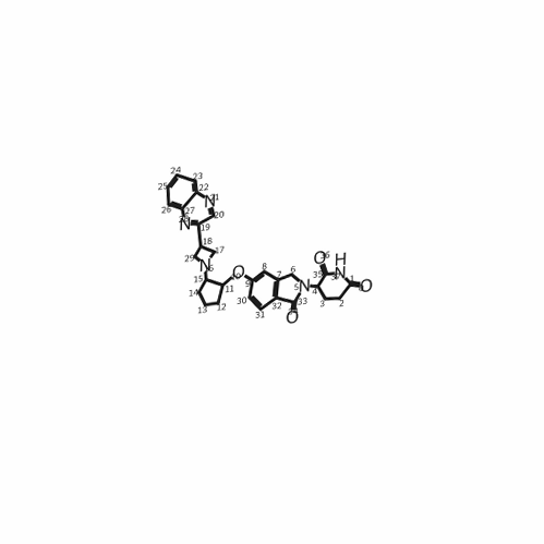 O=C1CCC(N2Cc3cc(OC4CCCC4N4CC(c5cnc6ccccc6n5)C4)ccc3C2=O)C(=O)N1